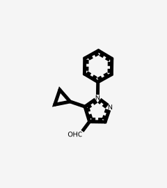 O=Cc1cnn(-c2ccccc2)c1C1CC1